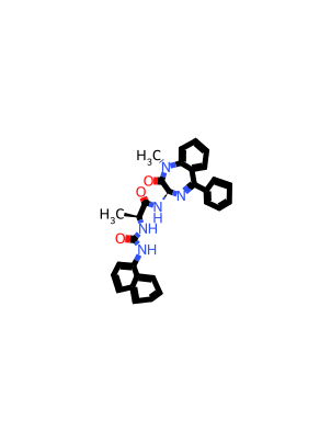 C[C@H](NC(=O)Nc1cccc2ccccc12)C(=O)N[C@H]1N=C(c2ccccc2)c2ccccc2N(C)C1=O